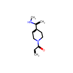 C=CC(=O)N1CC=C(C(=C)NC)CC1